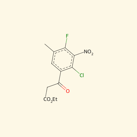 CCOC(=O)CC(=O)c1cc(C)c(F)c([N+](=O)[O-])c1Cl